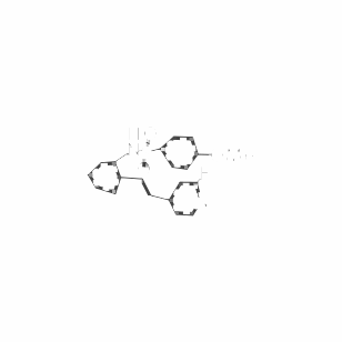 COc1ccc(S(=O)(=O)Nc2ccccc2C=Cc2ccnc(F)c2)cc1